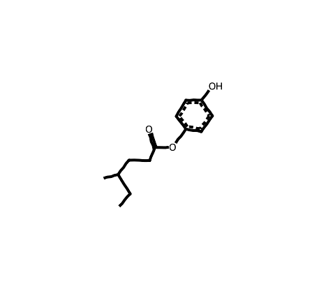 CCC(C)CCC(=O)Oc1ccc(O)cc1